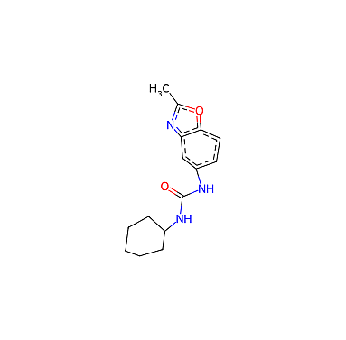 Cc1nc2cc(NC(=O)NC3CCCCC3)ccc2o1